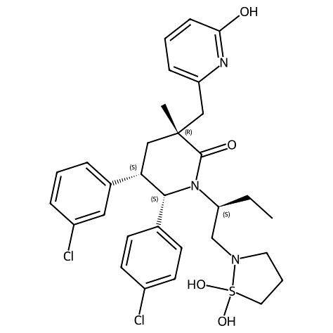 CC[C@@H](CN1CCCS1(O)O)N1C(=O)[C@@](C)(Cc2cccc(O)n2)C[C@@H](c2cccc(Cl)c2)[C@H]1c1ccc(Cl)cc1